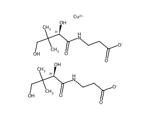 CC(C)(CO)[C@@H](O)C(=O)NCCC(=O)[O-].CC(C)(CO)[C@@H](O)C(=O)NCCC(=O)[O-].[Cu+2]